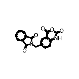 O=C1c2ccccc2C(=O)N1Cc1ccc2[nH]c(=O)oc(=O)c2c1